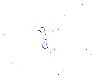 CC(=O)Nc1ccc(=O)n([C@H]2CC[C@@](CNC(=O)OC(C)(C)C)(c3cccc(Cl)c3)CC2)n1